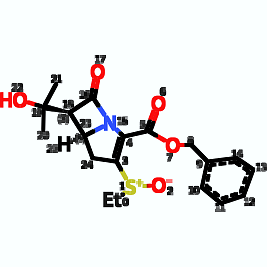 CC[S+]([O-])C1=C(C(=O)OCc2ccccc2)N2C(=O)[C@H](C(C)(C)O)[C@@H]2C1